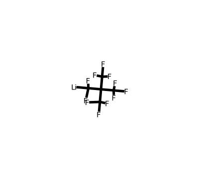 [Li][C](F)(F)C(C(F)(F)F)(C(F)(F)F)C(F)(F)F